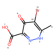 Cc1[nH]nc(C(=O)O)c(=O)c1Br